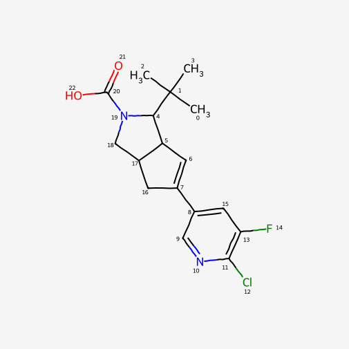 CC(C)(C)C1C2C=C(c3cnc(Cl)c(F)c3)CC2CN1C(=O)O